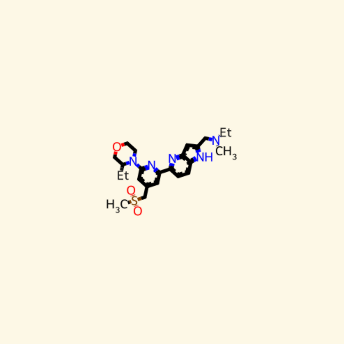 CCC1COCCN1c1cc(CS(C)(=O)=O)cc(-c2ccc3[nH]c(CN(C)CC)cc3n2)n1